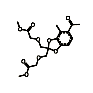 COC(=O)COCC1(COCC(=O)OC)Oc2ccc(C(C)=O)c(C)c2O1